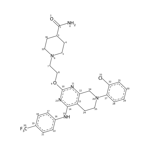 NC(=O)C1CCN(CCOc2nc3c(c(Nc4ccc(C(F)(F)F)cc4)n2)CCN(c2ccccc2Cl)C3)CC1